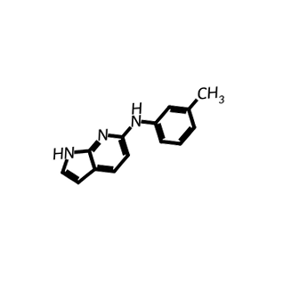 Cc1cccc(Nc2ccc3cc[nH]c3n2)c1